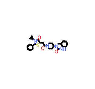 O=C(CC1SC(C2C=CC=CC2)N(C2CC2)C1=O)N1CCC(N2CC3=C(CCC=C3)NC2=O)CC1